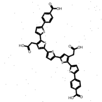 O=C(O)Cc1cc(-c2ccc(-c3cc(CC(=O)O)c(-c4ccc(-c5ccc(C(=O)O)cc5)s4)s3)s2)sc1-c1ccc(-c2ccc(C(=O)O)cc2)s1